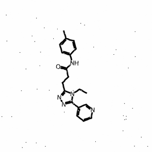 CCn1c(CCC(=O)Nc2ccc(C)cc2)nnc1-c1cccnc1